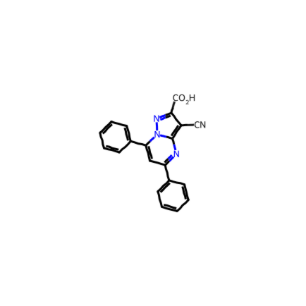 N#Cc1c(C(=O)O)nn2c(-c3ccccc3)cc(-c3ccccc3)nc12